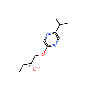 CC[C@@H](O)COc1cnc(C(C)C)cn1